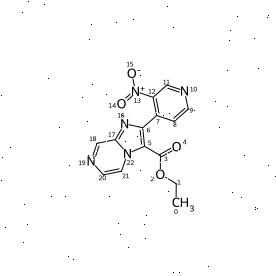 CCOC(=O)c1c(-c2ccncc2[N+](=O)[O-])nc2cnccn12